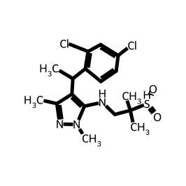 Cc1nn(C)c(NCC(C)(C)[SH](=O)=O)c1C(C)c1ccc(Cl)cc1Cl